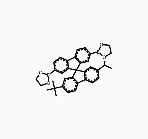 CC(C)c1ccc2c(c1)C1(c3cc(B4OCCO4)ccc3-c3ccc(B4OCCO4)cc31)c1cc(C(C)(C)C)ccc1-2